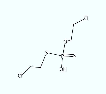 OP(=S)(OCCCl)SCCCl